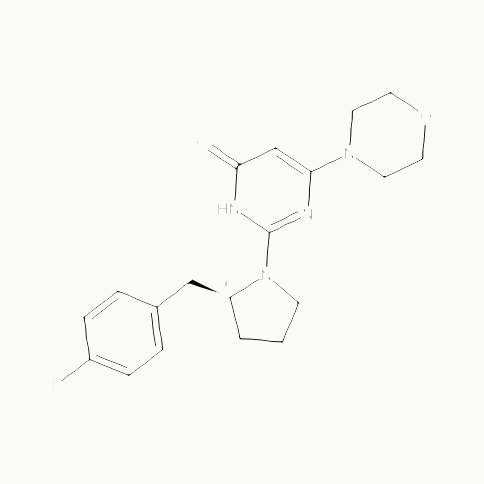 C[C@H]1CCN(c2nc(N3CCOCC3)cc(=O)[nH]2)[C@@H]1Cc1ccc(F)cc1